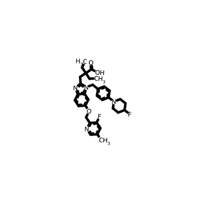 CCC(CC)(Cc1nc2ccc(OCc3ncc(C)cc3F)cc2n1Cc1ccc(N2CCC(F)CC2)cc1)C(=O)O